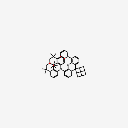 CC1(C)CCC(C)(C)c2c(N(c3cccc4c3Oc3c(-c5ccccc5)cccc3C43C4CC5CC6CC3C564)c3cccc4c3C(C)(C)CCC4(C)C)cccc21